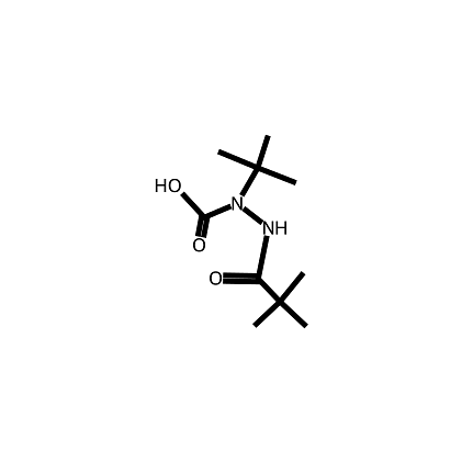 CC(C)(C)C(=O)NN(C(=O)O)C(C)(C)C